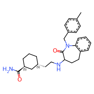 Cc1ccc(CN2C(=O)C(NCC[C@H]3CCC[C@H](C(N)=O)C3)CCc3ccccc32)cc1